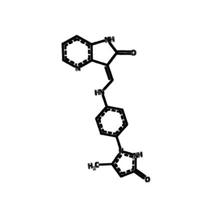 Cc1cc(=O)[nH]n1-c1ccc(N/C=C2/C(=O)Nc3cccnc32)cc1